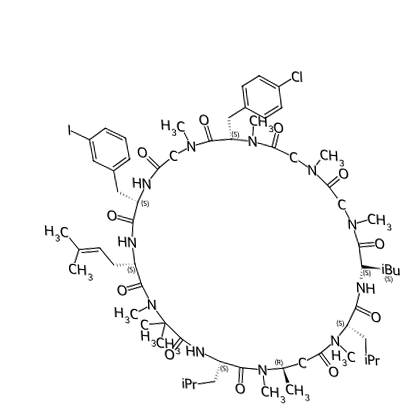 CC[C@H](C)[C@@H]1NC(=O)[C@H](CC(C)C)N(C)C(=O)C[C@@H](C)N(C)C(=O)[C@H](CC(C)C)NC(=O)C(C)(C)N(C)C(=O)[C@H](CC=C(C)C)NC(=O)[C@H](Cc2cccc(I)c2)NC(=O)CN(C)C(=O)[C@H](Cc2ccc(Cl)cc2)N(C)C(=O)CN(C)C(=O)CN(C)C1=O